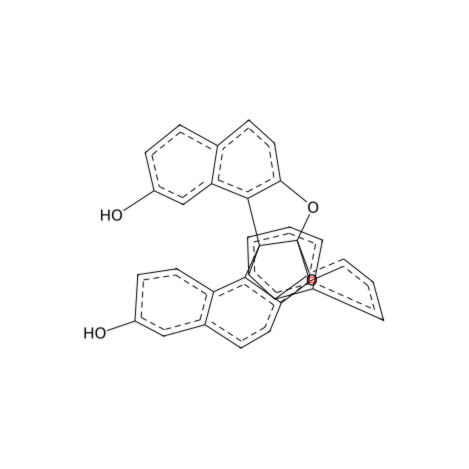 Oc1ccc2c3c(ccc2c1)OC12Oc4ccc5ccc(O)cc5c4C31c1cccc3cccc2c13